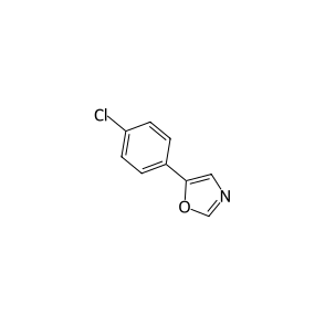 Clc1ccc(-c2cnco2)cc1